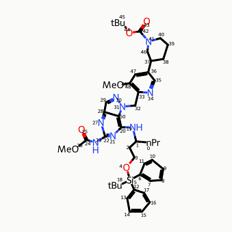 CCCC(CCO[Si](c1ccccc1)(c1ccccc1)C(C)(C)C)Nc1nc(NC(=O)OC)nc2cnn(Cc3ncc(C4CCCN(C(=O)OC(C)(C)C)C4)cc3OC)c12